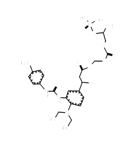 CCC(CC(=O)OCOC(=O)OCC(C)OP(=O)(O)O)c1ccc(N(CC(C)C)CC(C)C)c(NC(=O)Nc2ccc(C)cc2)c1